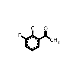 CC(=O)c1c[c]cc(F)c1Cl